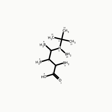 BC(C(=O)O)C(B)C(B)N(B)C(C)(C)C